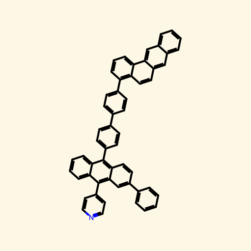 c1ccc(-c2ccc3c(-c4ccc(-c5ccc(-c6cccc7c6ccc6cc8ccccc8cc67)cc5)cc4)c4ccccc4c(-c4ccncc4)c3c2)cc1